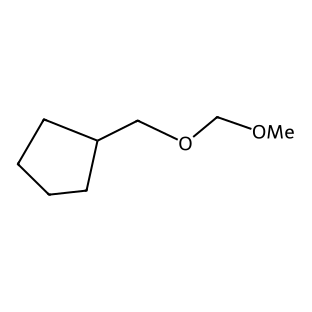 COCOCC1CCCC1